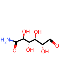 NC(=O)[C@@H](O)[C@@H](O)[C@@H](O)[C@@H](O)C=O